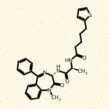 C[C@H](NC(=O)CCCCc1cccs1)C(=O)N[C@H]1N=C(c2ccccc2)c2ccccc2N(C)C1=O